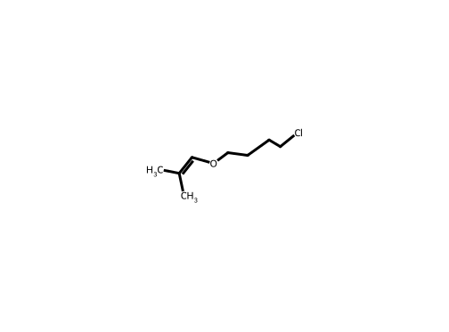 CC(C)=COCCCCCl